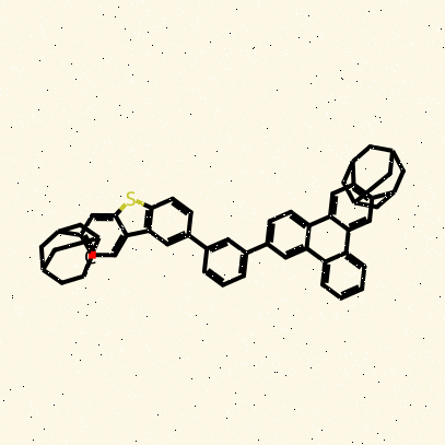 c1cc(-c2ccc3sc4cc5c(cc4c3c2)C2CC3CC(CC5C3)C2)cc(-c2ccc3c(c2)c2ccccc2c2cc4c(cc32)C2CC3CC(CC4C3)C2)c1